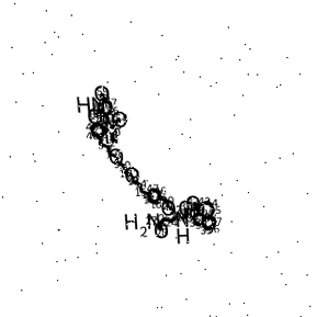 CN(C)c1c(CCCOCCCOCCCc2ccc(COC[C@H](CCC(N)=O)NC(=O)[C@@H]3Cc4cccc5c4N3C(=O)CCC5)cc2)cccc1N(C=O)C1CCC(=O)NC1=O